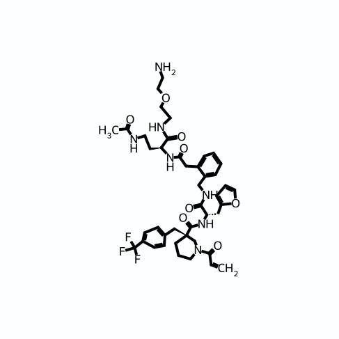 C=CC(=O)N1CCC[C@](Cc2ccc(C(F)(F)F)cc2)(C(=O)N[C@@H](Cc2ccco2)C(=O)NCc2ccccc2CC(=O)N[C@@H](CCNC(C)=O)C(=O)NCCOCCN)C1